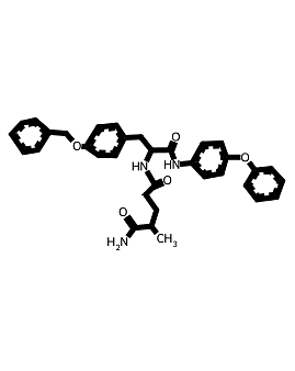 CC(C[CH]C(=O)NC(Cc1ccc(OCc2ccccc2)cc1)C(=O)Nc1ccc(Oc2ccccc2)cc1)C(N)=O